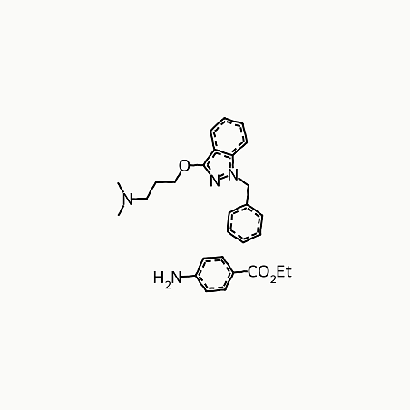 CCOC(=O)c1ccc(N)cc1.CN(C)CCCOc1nn(Cc2ccccc2)c2ccccc12